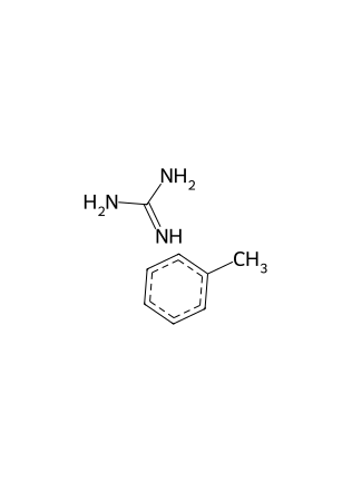 Cc1ccccc1.N=C(N)N